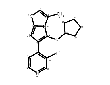 Cc1csc2nc(-c3ccncc3I)c(NC3CCCC3)n12